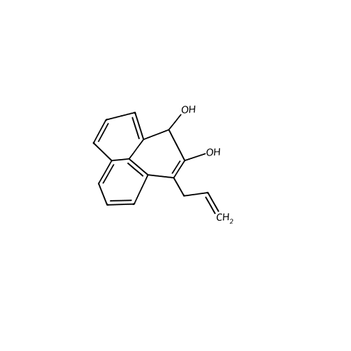 C=CCC1=C(O)C(O)c2cccc3cccc1c23